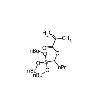 C=C(C)C(=O)OC(CCC)[Si](OCCCC)(OCCCC)OCCCC